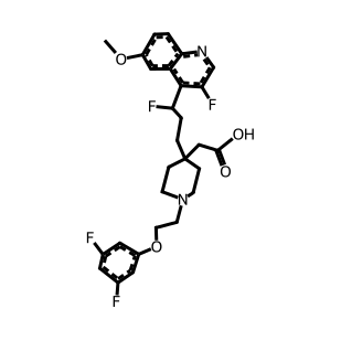 COc1ccc2ncc(F)c(C(F)CCC3(CC(=O)O)CCN(CCOc4cc(F)cc(F)c4)CC3)c2c1